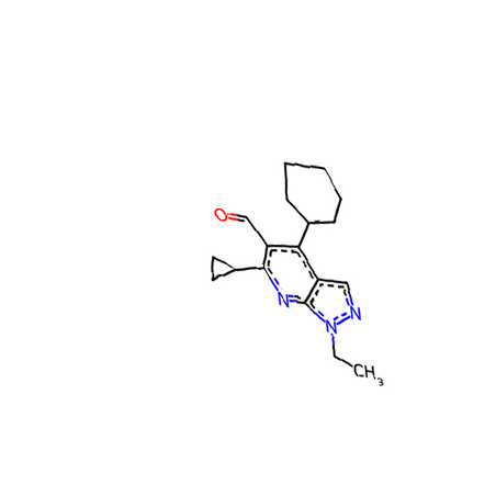 CCn1ncc2c(C3CCCCC3)c(C=O)c(C3CC3)nc21